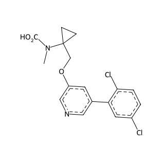 CN(C(=O)O)C1(COc2cncc(-c3cc(Cl)ccc3Cl)c2)CC1